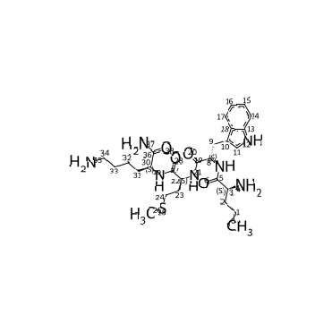 CCC[C@H](N)C(=O)N[C@@H](Cc1c[nH]c2ccccc12)C(=O)N[C@@H](CCSC)C(=O)N[C@@H](CCCCN)C(N)=O